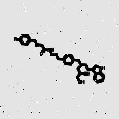 O=C(COCc1ccc(F)cc1)NCCCc1ccc(CN(CCc2c[nH]c3ccccc23)CC(O)CO)cc1